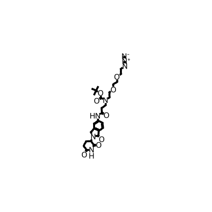 CC(C)(C)OC(=O)N(CCOCCOCCN=[N+]=[N-])CCC(=O)Nc1ccc2c(c1)CN(C1CCC(=O)NC1=O)C2=O